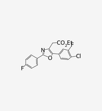 CCOC(=O)Cc1nc(-c2ccc(F)cc2)oc1-c1ccc(Cl)c(F)c1